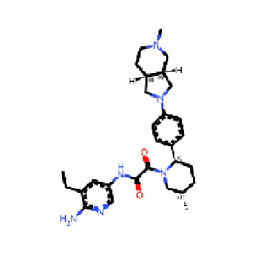 CCc1cc(NC(=O)C(=O)N2C[C@@H](C)CC[C@@H]2c2ccc(N3C[C@H]4CN(C)CC[C@H]4C3)cc2)cnc1N